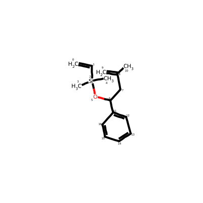 C=C[Si](C)(C)OC(CC(=C)C)c1ccccc1